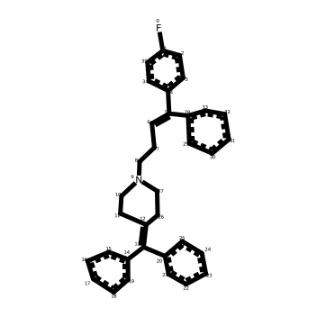 Fc1ccc(C(=CCCN2CCC(=C(c3ccccc3)c3ccccc3)CC2)c2ccccc2)cc1